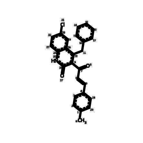 Cc1ccc(/C=C/C(=O)c2c(Cc3ccccc3)c3cc(Cl)ccc3[nH]c2=O)cc1